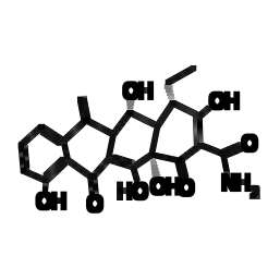 C=C1c2cccc(O)c2C(=O)C2=C(O)[C@]3(O)C(=O)C(C(N)=O)=C(O)[C@@H](CC)C3[C@@H](O)C12